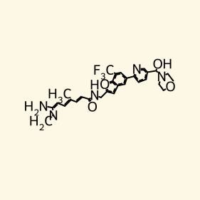 C=N\C(N)=C/C=C(C)/C=C/C(=O)NCc1cc2cc(-c3ccc(C(O)N4CCOCC4)cn3)cc(C(F)(F)F)c2o1